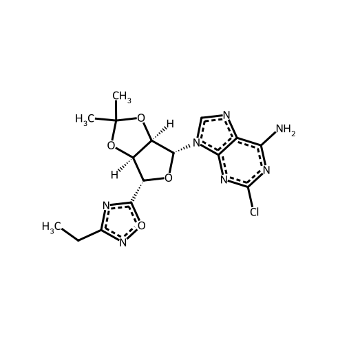 CCc1noc([C@H]2O[C@@H](n3cnc4c(N)nc(Cl)nc43)[C@@H]3OC(C)(C)O[C@@H]32)n1